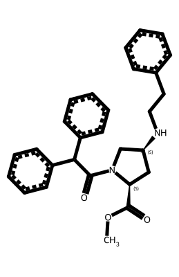 COC(=O)[C@@H]1C[C@H](NCCc2ccccc2)CN1C(=O)C(c1ccccc1)c1ccccc1